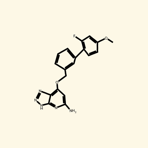 COc1ccc(-c2cccc(COc3cc(N)nc4[nH]nnc34)c2)c(F)c1